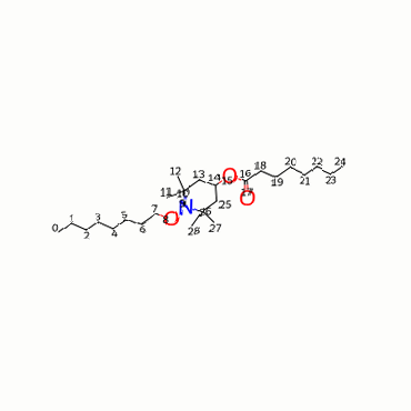 CCCCCCCCON1C(C)(C)CC(OC(=O)CCCCCCC)CC1(C)C